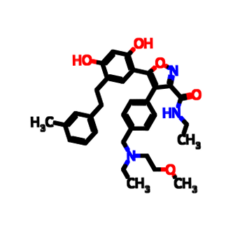 CCNC(=O)c1noc(-c2cc(CCc3cccc(C)c3)c(O)cc2O)c1-c1ccc(CN(CC)CCOC)cc1